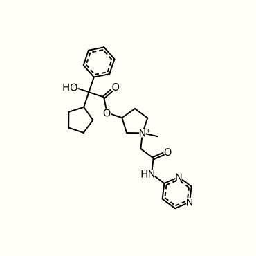 C[N+]1(CC(=O)Nc2ccncn2)CCC(OC(=O)C(O)(c2ccccc2)C2CCCC2)C1